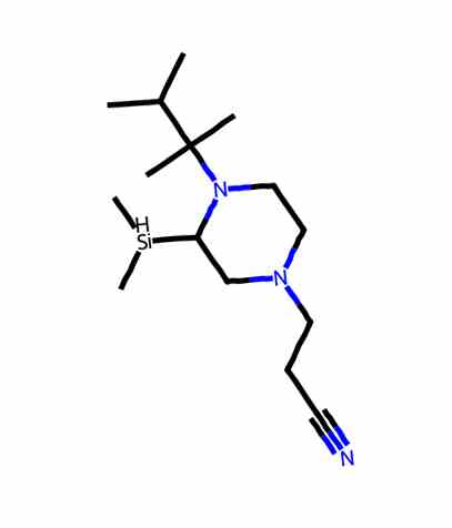 CC(C)C(C)(C)N1CCN(CCC#N)CC1[SiH](C)C